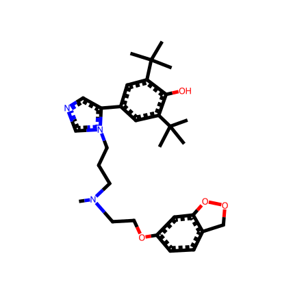 CN(CCCn1cncc1-c1cc(C(C)(C)C)c(O)c(C(C)(C)C)c1)CCOc1ccc2c(c1)OOC2